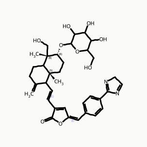 C=C1CCC2[C@](C)(CC[C@@H](OC3OC(CO)C(O)C(O)C3O)[C@@]2(C)CO)C1/C=C/C1=CC(=C\c2ccc(C3=NCC=N3)cc2)/OC1=O